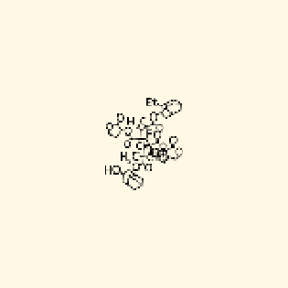 CCC1C2CC3CC(C2)CC1(OC(=O)C(C)(CC)CC(C)(CC(C)(CC(C)(C)C(=O)OC12CC4CC(CC(O)(C4)C1)C2)C(=O)OC1C2CC4C(=O)OC1C4C2)C(=O)OC1CCOC1=O)C3